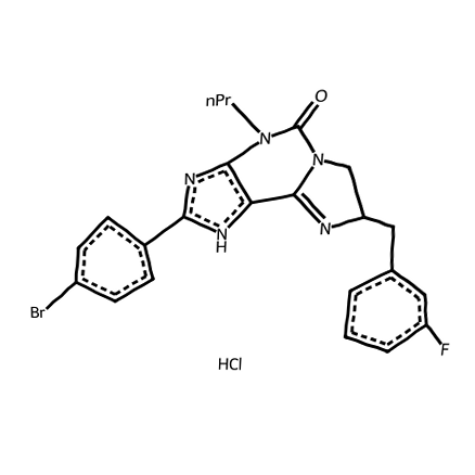 CCCN1C(=O)N2CC(Cc3cccc(F)c3)N=C2c2[nH]c(-c3ccc(Br)cc3)nc21.Cl